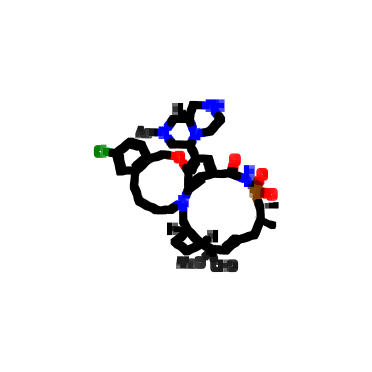 CO[C@]1(C=O)/C=C/C[C@H](C)[C@@H](C)S(=O)(=O)NC(=O)c2cc(C3CN(C(C)=O)C[C@@H]4CNCCN34)c3c(c2)N(CCCCc2cc(Cl)ccc2CO3)C[C@@H]2CC[C@H]21